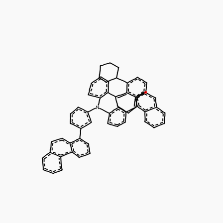 C1=c2cccc(C3CCCCC3)c2=C(c2ccccc2N(c2cccc(-c3cccc4ccccc34)c2)c2cccc(-c3cccc4c3ccc3ccccc34)c2)CC1